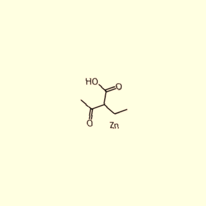 CCC(C(C)=O)C(=O)O.[Zn]